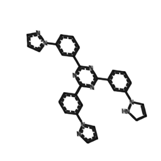 C1=CN(c2cccc(-c3nc(-c4cccc(-n5cccn5)c4)nc(-c4cccc(-n5cccn5)c4)n3)c2)NC1